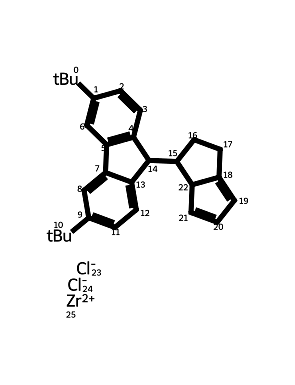 CC(C)(C)c1ccc2c(c1)-c1cc(C(C)(C)C)ccc1C2C1CCC2=CC=CC21.[Cl-].[Cl-].[Zr+2]